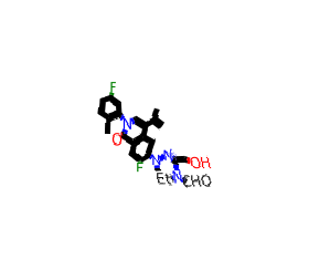 C=C(C)c1cn(-c2cc(F)ccc2C)c(=O)c2cc(F)c(N(C)/N=C(/CO)N(C=O)CC)cc12